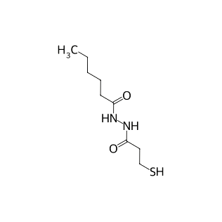 CCCCCC(=O)NNC(=O)CCS